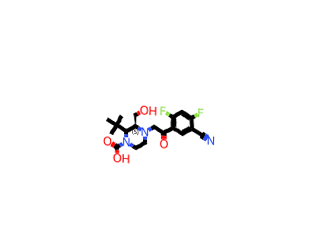 CC(C)(C)C1[C@@H](CO)N(CC(=O)c2cc(C#N)c(F)cc2F)CCN1C(=O)O